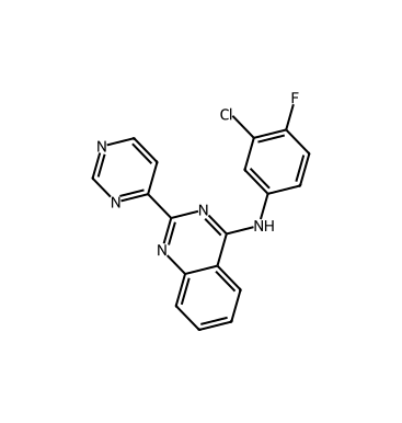 Fc1ccc(Nc2nc(-c3ccncn3)nc3ccccc23)cc1Cl